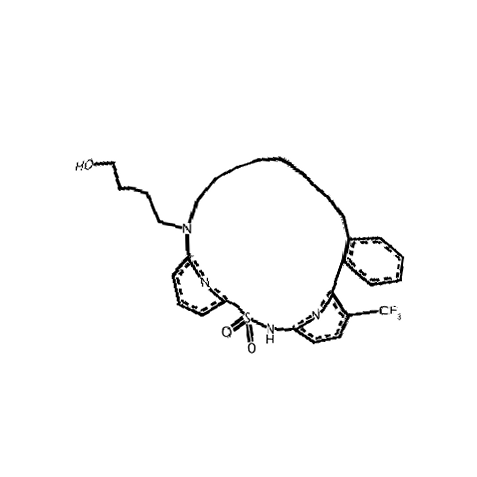 O=S1(=O)Nc2ccc(C(F)(F)F)c(n2)-c2ccccc2CCCCCCCCN(CCCCO)c2cccc1n2